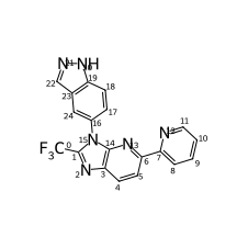 FC(F)(F)c1nc2ccc(-c3ccccn3)nc2n1-c1ccc2[nH]ncc2c1